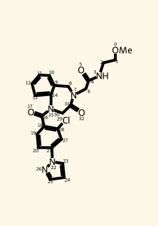 COCCNC(=O)CN1Cc2ccccc2N(C(=O)c2ccc(-n3cccn3)cc2Cl)CC1=O